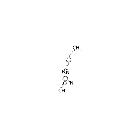 CCCCCC1CCC(CCc2cnc(-c3ccc(OCCCC)c(C#N)c3)nc2)CC1